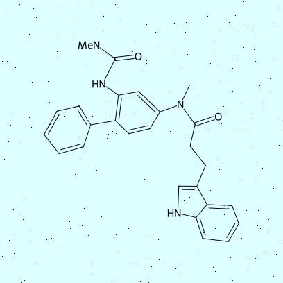 CNC(=O)Nc1cc(N(C)C(=O)CCc2c[nH]c3ccccc23)ccc1-c1ccccc1